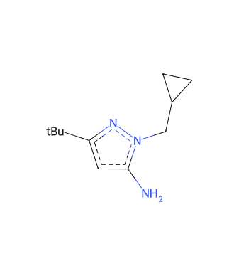 CC(C)(C)c1cc(N)n(CC2CC2)n1